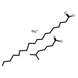 CC(C)CCCCC(=O)[O-].CCCCCCCCCCCCCCCCCC(=O)[O-].[Mg+2]